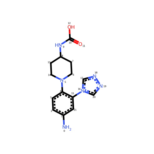 Nc1ccc(N2CCC(NC(=O)O)CC2)c(-n2cnnc2)c1